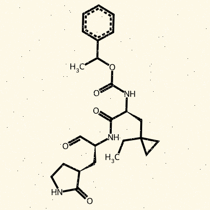 CCC1(C[C@H](NC(=O)OC(C)c2ccccc2)C(=O)N[C@H](C=O)C[C@@H]2CCNC2=O)CC1